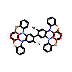 N#Cc1cc(N2c3ccccc3Sc3ccccc32)c(N2c3ccccc3Sc3ccccc32)cc1-c1cc(N2c3ccccc3Sc3ccccc32)c(N2c3ccccc3Sc3ccccc32)cc1C#N